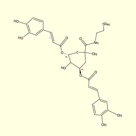 CCCCCCCCCCCCNC(=O)C1(O)C[C@@H](OC(=O)C=Cc2ccc(O)c(O)c2)C(O)[C@H](OC(=O)/C=C/c2ccc(O)c(O)c2)C1